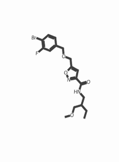 CCC(CNC(=O)c1cc(COCc2ccc(Br)c(F)c2)on1)COC